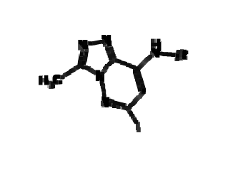 CCNc1cc(I)nn2c(C)nnc12